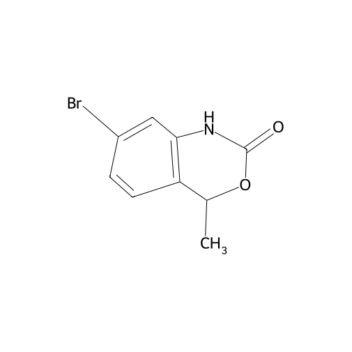 CC1OC(=O)Nc2cc(Br)ccc21